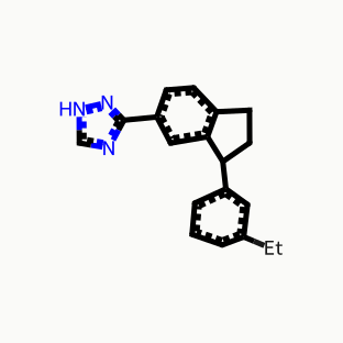 CCc1cccc(C2CCc3ccc(-c4nc[nH]n4)cc32)c1